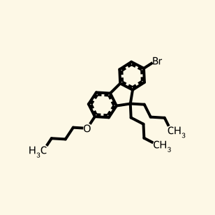 CCCCOc1ccc2c(c1)C(CCCC)(CCCC)c1cc(Br)ccc1-2